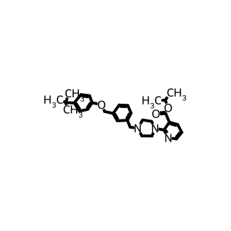 CC(C)OC(=O)c1cccnc1N1CCN(Cc2cccc(COc3ccc(C(C)(C)C)cc3)c2)CC1